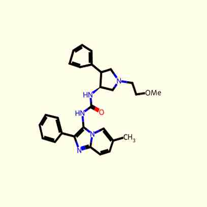 COCCN1CC(c2ccccc2)[C@H](NC(=O)Nc2c(-c3ccccc3)nc3ccc(C)cn23)C1